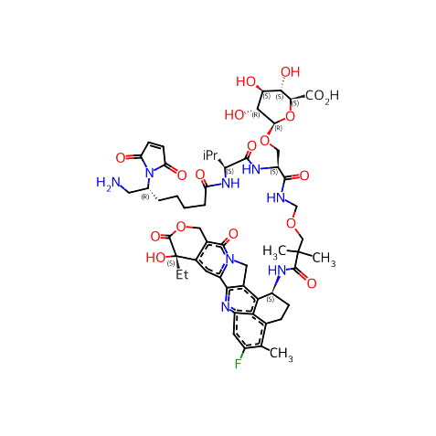 CC[C@@]1(O)C(=O)OCc2c1cc1n(c2=O)Cc2c-1nc1cc(F)c(C)c3c1c2[C@@H](NC(=O)C(C)(C)COCNC(=O)[C@H](CO[C@@H]1O[C@H](C(=O)O)[C@@H](O)[C@H](O)[C@H]1O)NC(=O)[C@@H](NC(=O)CCCC[C@H](CN)N1C(=O)C=CC1=O)C(C)C)CC3